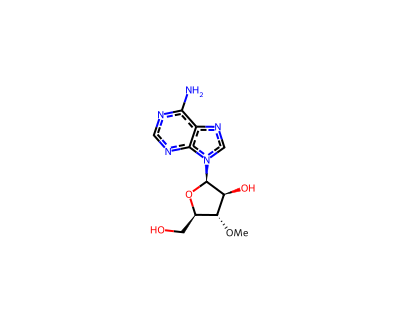 CO[C@H]1[C@H](O)[C@H](n2cnc3c(N)ncnc32)O[C@@H]1CO